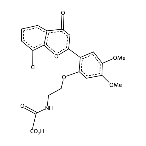 COc1cc(OCCNC(=O)C(=O)O)c(-c2cc(=O)c3cccc(Cl)c3o2)cc1OC